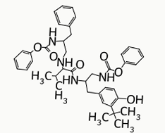 CC(C)C(NCC(Cc1ccccc1)NC(=O)Oc1ccccc1)C(=O)NC(CNC(=O)Oc1ccccc1)Cc1ccc(O)c(C(C)(C)C)c1